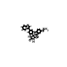 NOc1ccc2c(c1)C(=O)N([C@@]1(c3ccc(-c4cnc5ccccn45)cc3)NC(=O)NC1=O)C2